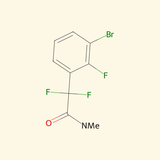 CNC(=O)C(F)(F)c1cccc(Br)c1F